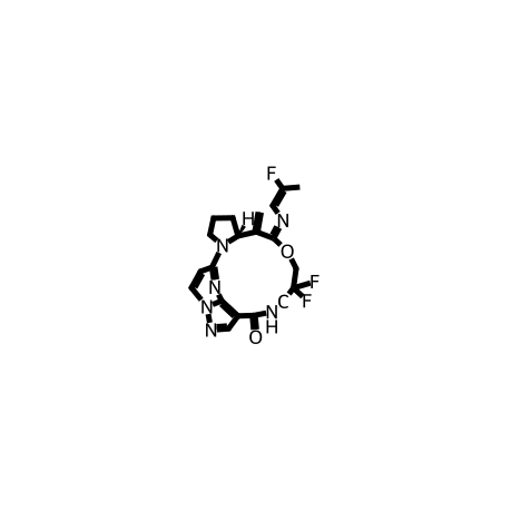 C=C1/C(=N\C=C(/C)F)OCC(F)(F)CNC(=O)c2cnn3ccc(nc23)N2CCC[C@H]12